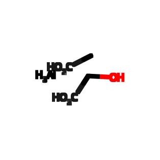 CC(=O)O.O=C(O)CO.[AlH3]